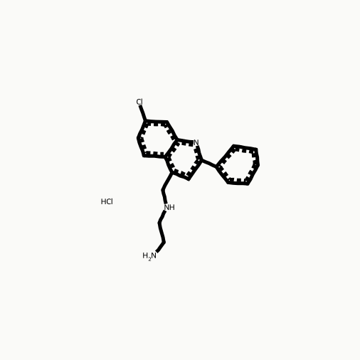 Cl.NCCNCc1cc(-c2ccccc2)nc2cc(Cl)ccc12